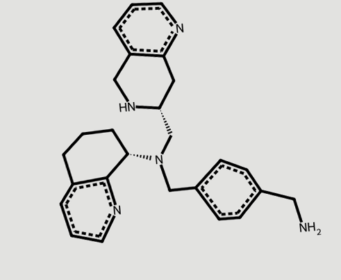 NCc1ccc(CN(C[C@H]2Cc3ncccc3CN2)[C@H]2CCCc3cccnc32)cc1